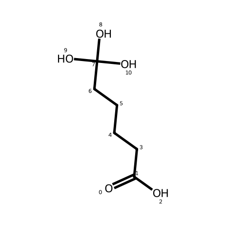 O=C(O)CCCCC(O)(O)O